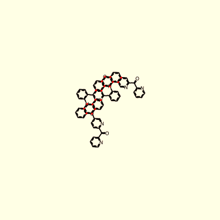 O=C(c1ccccn1)c1ccc(-c2cccc(-c3cc(-c4ccccc4N4c5ccccc5Oc5ccccc54)c(-c4cccc(-c5ccc(C(=O)c6ccccn6)nc5)c4)nc3-c3ccccc3N3c4ccccc4Oc4ccccc43)c2)cn1